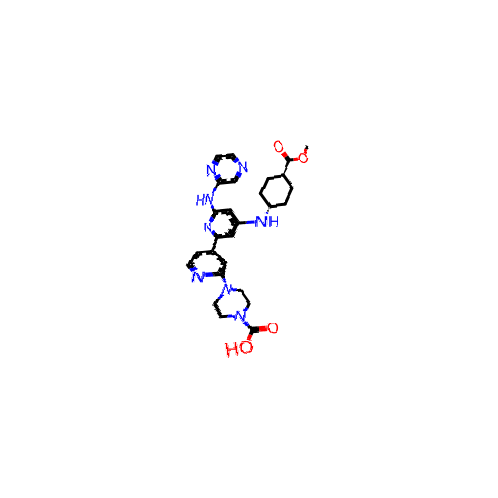 COC(=O)[C@H]1CC[C@H](Nc2cc(Nc3cnccn3)nc(-c3ccnc(N4CCN(C(=O)O)CC4)c3)c2)CC1